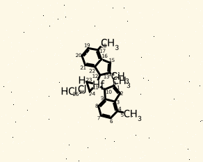 CC1=Cc2c(C)cccc2[CH]1[Hf]1([CH]2C(C)=Cc3c(C)cccc32)[CH2][CH2]1.Cl.Cl